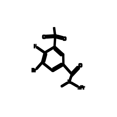 CCCN(C)C(=O)c1cc(Br)c(F)c(S(C)(=O)=O)c1